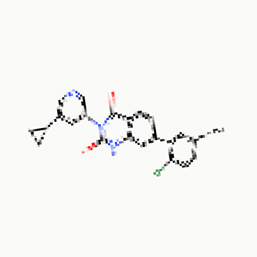 COc1ccc(Cl)c(-c2ccc3c(=O)n(-c4cncc(C5CC5)c4)c(=O)[nH]c3c2)c1